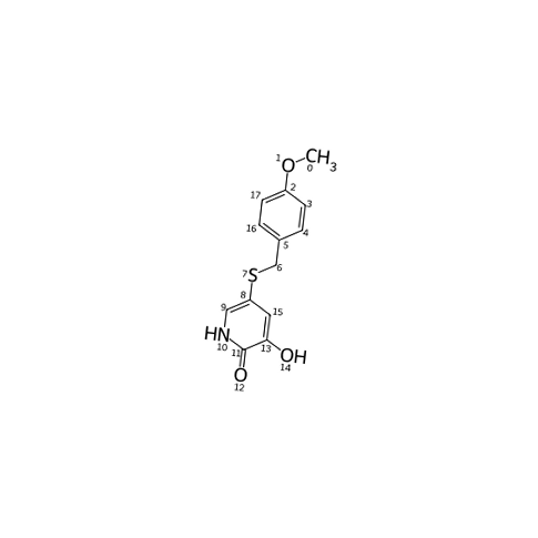 COc1ccc(CSc2c[nH]c(=O)c(O)c2)cc1